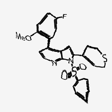 COc1ccc(F)cc1-c1ccnc2c1cc(C1=CCSCC1)n2S(=O)(=O)c1ccccc1